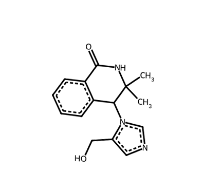 CC1(C)NC(=O)c2ccccc2C1n1cncc1CO